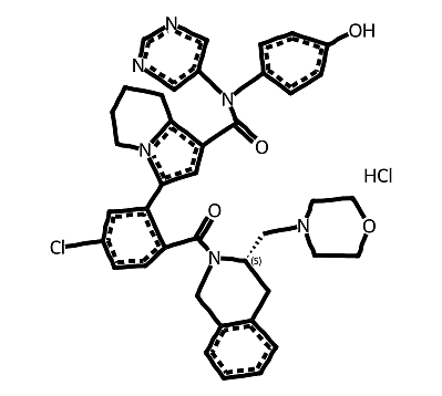 Cl.O=C(c1cc(-c2cc(Cl)ccc2C(=O)N2Cc3ccccc3C[C@H]2CN2CCOCC2)n2c1CCCC2)N(c1ccc(O)cc1)c1cncnc1